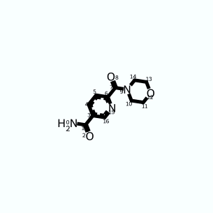 NC(=O)c1ccc(C(=O)N2CCOCC2)nc1